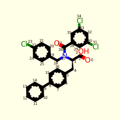 O=C(O)[C@@H](Cc1ccc(-c2ccccc2)cc1)N(Cc1ccc(Cl)cc1)C(=O)c1cc(Cl)cc(Cl)c1